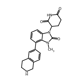 Cn1c(=O)n(C2CCC(=O)NC2=O)c2cccc(-c3ccc4c(c3)CCNC4)c21